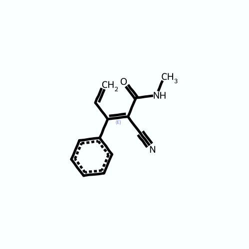 C=C/C(=C(/C#N)C(=O)NC)c1ccccc1